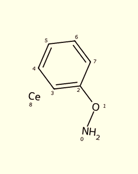 NOc1ccccc1.[Ce]